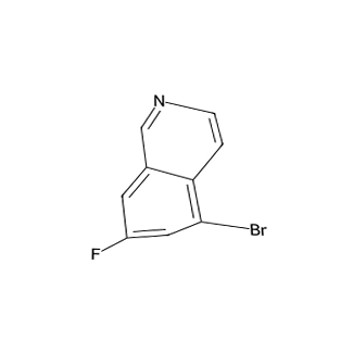 Fc1cc(Br)c2ccncc2c1